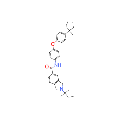 CCC(C)(CC)c1ccc(Oc2ccc(NC(=O)c3ccc4c(c3)CN(C(C)(C)CC)C4)cc2)cc1